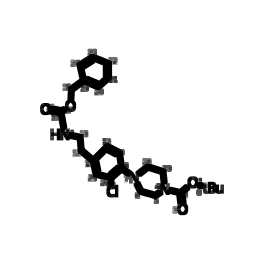 CC(C)(C)OC(=O)N1CCN(c2ccc(CCNC(=O)OCc3ccccc3)cc2Cl)CC1